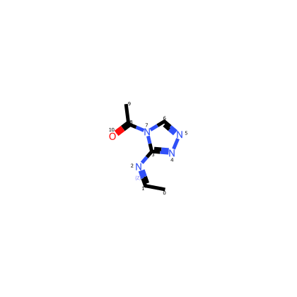 C/C=N\c1nncn1C(C)=O